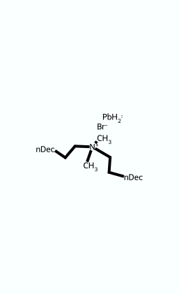 CCCCCCCCCCCC[N+](C)(C)CCCCCCCCCCCC.[Br-].[PbH2]